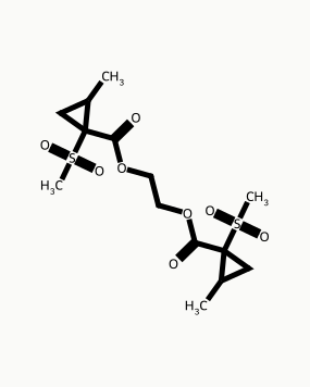 CC1CC1(C(=O)OCCOC(=O)C1(S(C)(=O)=O)CC1C)S(C)(=O)=O